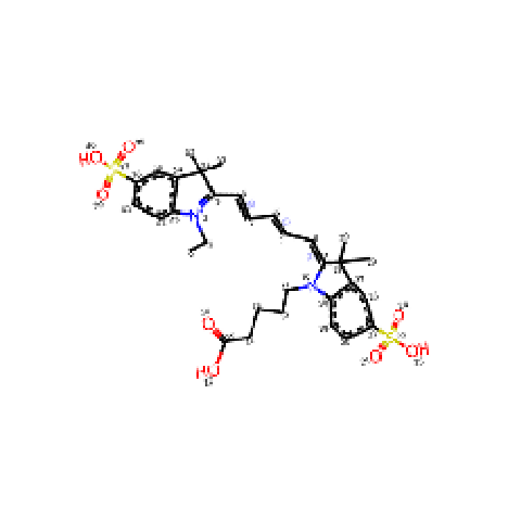 CC[N+]1=C(/C=C/C=C/C=C2\N(CCCCC(=O)O)c3ccc(S(=O)(=O)O)cc3C2(C)C)C(C)(C)c2cc(S(=O)(=O)O)ccc21